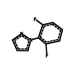 Fc1cccc(F)c1-n1cccn1